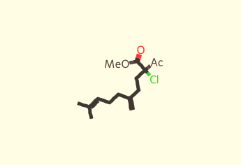 C=C(CCC=C(C)C)CCC(Cl)(C(C)=O)C(=O)OC